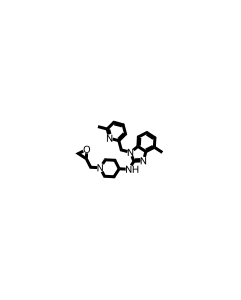 Cc1cccc(Cn2c(NC3CCN(CC4CO4)CC3)nc3c(C)cccc32)n1